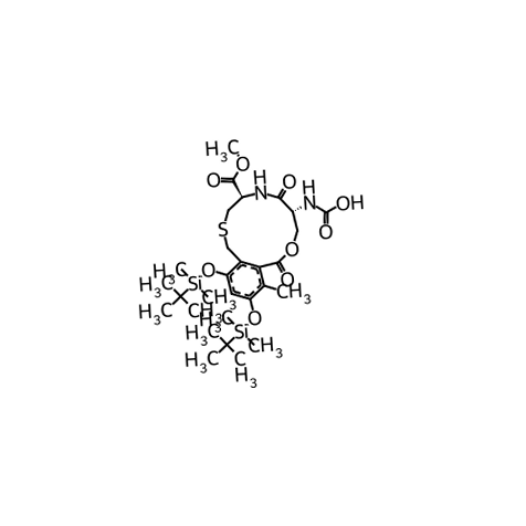 COC(=O)[C@@H]1CSCc2c(O[Si](C)(C)C(C)(C)C)cc(O[Si](C)(C)C(C)(C)C)c(C)c2C(=O)OC[C@@H](NC(=O)O)C(=O)N1